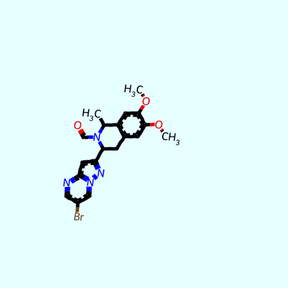 COc1cc2c(cc1OC)C(C)N(C=O)C(c1cc3ncc(Br)cn3n1)C2